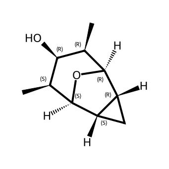 C[C@@H]1[C@H](O)[C@H](C)[C@H]2O[C@@H]1[C@@H]1C[C@@H]12